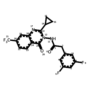 O=C(Cc1cc(F)cc(F)c1)Nn1c(C2CC2)nc2cc(C(F)(F)F)ccc2c1=O